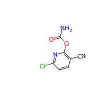 N#Cc1ccc(Cl)nc1OC(N)=O